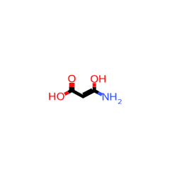 NC(O)=CC(=O)O